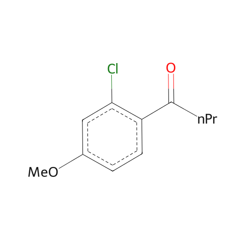 CCCC(=O)c1ccc(OC)cc1Cl